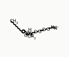 CCCCCCCCCCc1ccc(NC(=O)[C@@H](C)NC(=O)CCOCCOCCOCCOCCN=[N+]=[N-])cc1